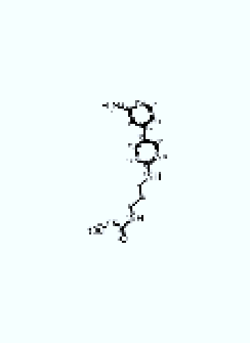 CC(C)(C)OC(=O)NCCCNc1ncc(-c2ccnc(N)c2)cn1